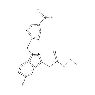 CCOC(=O)Cc1nn(Cc2ccc([N+](=O)[O-])cc2)c2ccc(F)cc12